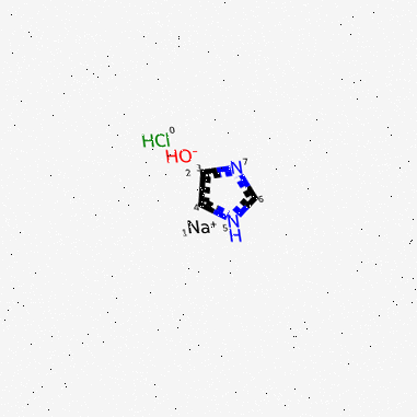 Cl.[Na+].[OH-].c1c[nH]cn1